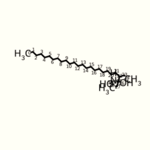 CCCCCCCCCCCCCCCCCCCCCCC(CC)C(O)(CC)NO